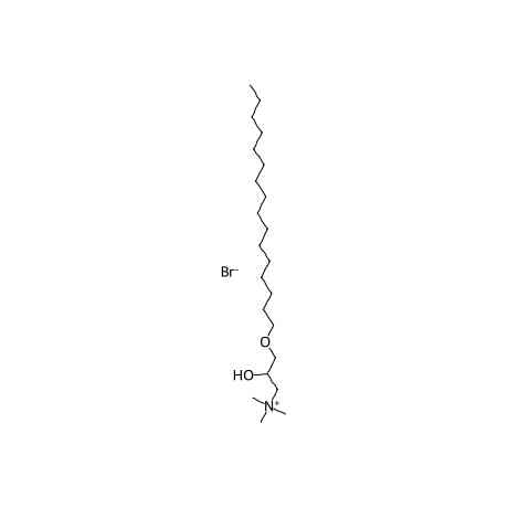 CCCCCCCCCCCCCCCCOCC(O)C[N+](C)(C)C.[Br-]